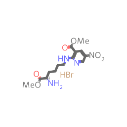 Br.COC(=O)c1cc([N+](=O)[O-])cnc1NCCCC[C@H](N)C(=O)OC